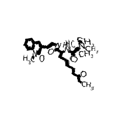 CCC(=O)CCCCCC(NC(=O)C(C)(C)N(C)C)c1ncc(-c2cc3ccccc3n(C)c2=O)o1